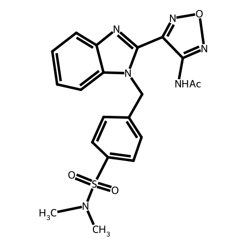 CC(=O)Nc1nonc1-c1nc2ccccc2n1Cc1ccc(S(=O)(=O)N(C)C)cc1